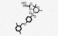 Cc1ccc(C)c(COc2ccc(S(=O)(=O)N3C[C@H](C)OC(C)(C)[C@H]3OC(=O)NO)cc2)c1